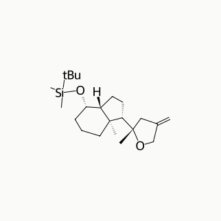 C=C1CO[C@](C)([C@H]2CC[C@H]3[C@@H](O[Si](C)(C)C(C)(C)C)CCC[C@@]32C)C1